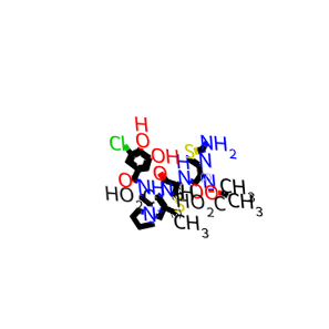 C[C@@H]1S[C@@H]2[C@H](NC(=O)/C(=N\OC(C)(C)C(=O)O)c3csc(N)n3)C(=O)N2C(C(=O)O)=C1C[N+]1(CCNC(=O)c2cc(O)c(O)c(Cl)c2)CCCC1